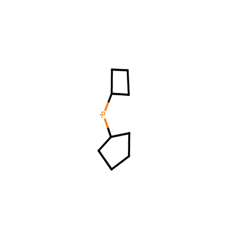 C1CCC([P]C2CCC2)C1